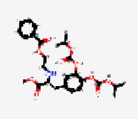 COC(=O)[C@H](Cc1ccc(OC(=O)OC(C)C)c(OC(=O)OC(C)C)c1)NCCOC(=O)c1ccccc1